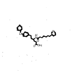 O=C(O)CCC(CCc1ccc(Oc2ccccc2)cc1)NC(=O)CCCCCCc1cccnc1